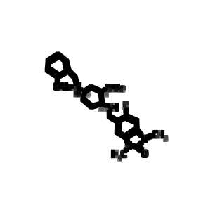 COc1ccccc1CN[C@H]1CC[C@H](NCc2cc3c(cc2F)n(C)c(=O)n3C)[C@H](OC)C1